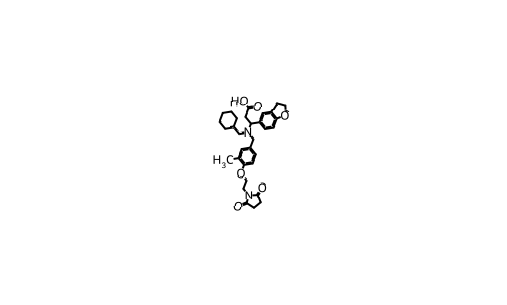 Cc1cc(CN(CC2CCCCC2)C(CC(=O)O)c2ccc3c(c2)CCO3)ccc1OCCN1C(=O)CCC1=O